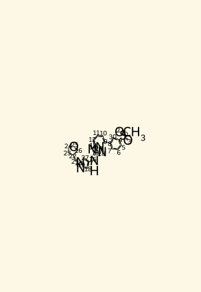 CS(=O)(=O)c1cccc(-c2cccc3nc(Nc4cnn(CC5CCOC5)c4)nn23)c1